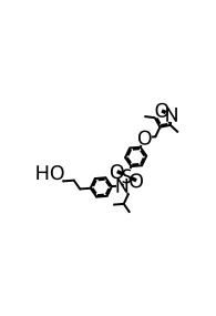 Cc1noc(C)c1COc1ccc(S(=O)(=O)N(CC(C)C)c2ccc(CCCO)cc2)cc1